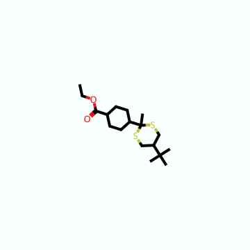 CCOC(=O)C1CCC(C2(C)SCC(C(C)(C)C)CS2)CC1